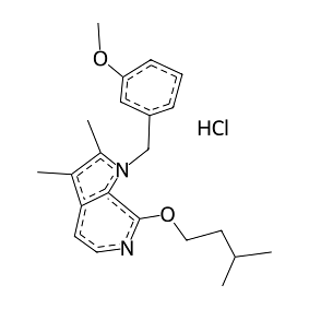 COc1cccc(Cn2c(C)c(C)c3ccnc(OCCC(C)C)c32)c1.Cl